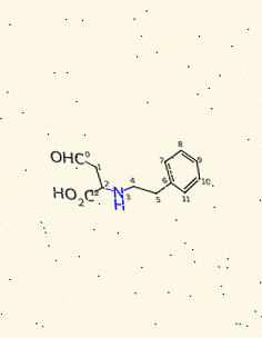 O=CCC(NCCc1ccccc1)C(=O)O